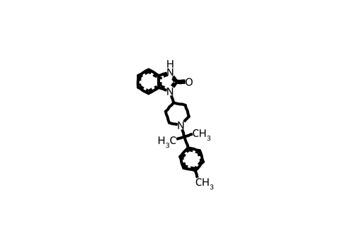 Cc1ccc(C(C)(C)N2CCC(n3c(=O)[nH]c4ccccc43)CC2)cc1